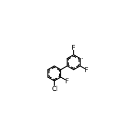 Fc1[c]c(F)cc(-c2cccc(Cl)c2F)c1